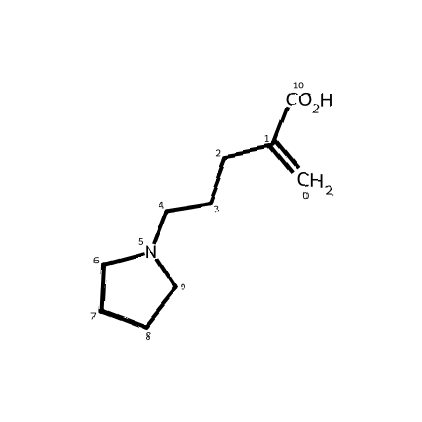 C=C(CCCN1CCCC1)C(=O)O